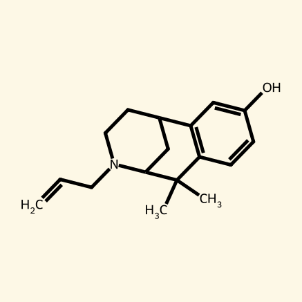 C=CCN1CCC2CC1C(C)(C)c1ccc(O)cc12